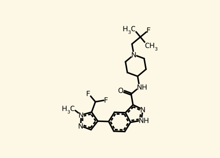 Cn1ncc(-c2ccc3[nH]nc(C(=O)NC4CCN(CC(C)(C)F)CC4)c3c2)c1C(F)F